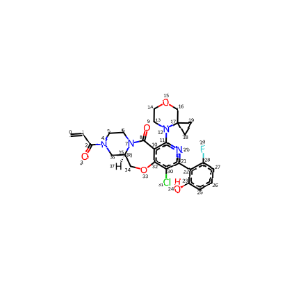 C=CC(=O)N1CCN2C(=O)c3c(N4CCOCC45CC5)nc(-c4c(O)cccc4F)c(Cl)c3OC[C@H]2C1